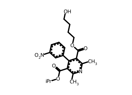 Cc1nc(C)c(C(=O)OC(C)C)c(-c2cccc([N+](=O)[O-])c2)c1C(=O)OCCCCO